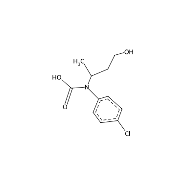 CC(CCO)N(C(=O)O)c1ccc(Cl)cc1